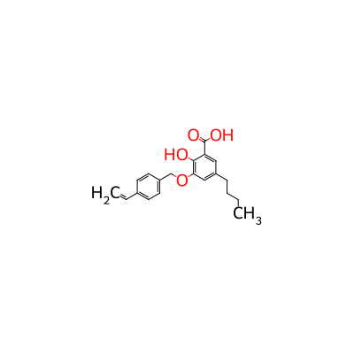 C=Cc1ccc(COc2cc(CCCC)cc(C(=O)O)c2O)cc1